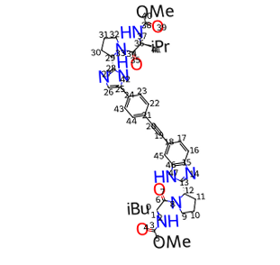 CC[C@H](C)[C@H](NC(=O)OC)C(=O)N1CCC[C@H]1c1nc2ccc(C#Cc3ccc(-c4cnc([C@@H]5CCCN5C(=O)[C@@H](NC(=O)OC)C(C)C)[nH]4)cc3)cc2[nH]1